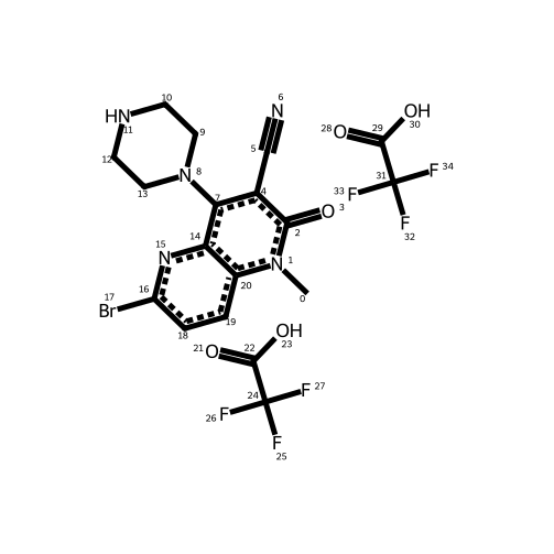 Cn1c(=O)c(C#N)c(N2CCNCC2)c2nc(Br)ccc21.O=C(O)C(F)(F)F.O=C(O)C(F)(F)F